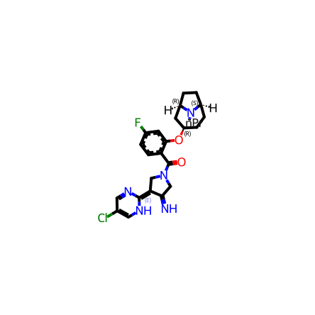 CCCN1[C@@H]2CC[C@@H](Oc3cc(F)ccc3C(=O)N3CC(=N)/C(=C4/N=CC(Cl)=CN4)C3)C[C@H]1CC2